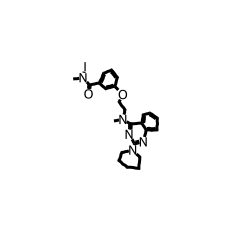 CN(I)C(=O)c1cccc(OCCN(C)c2nc(N3CCCCC3)nc3ccccc23)c1